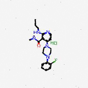 CCCNc1nccc(N2CCN(c3ccccc3F)CC2)c1C(=O)N(C)C.Cl